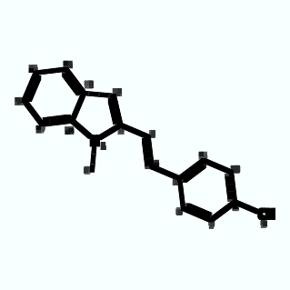 Cn1c(/C=C/c2ccc(C#N)cc2)cc2ccccc21